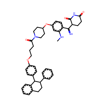 CNc1cc(OC2CCN(C(=O)CCCOc3ccc(C4c5ccccc5CCC4c4ccccc4)cc3)CC2)ccc1C(=N)C1CCC(=O)NC1=O